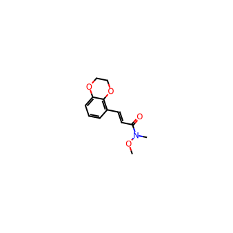 CON(C)C(=O)/C=C/c1cccc2c1OCCO2